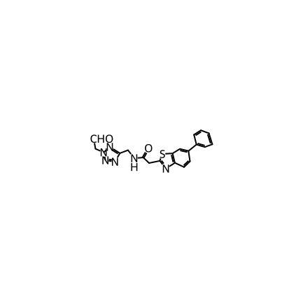 O=CCn1nnc(CNC(=O)Cc2nc3ccc(-c4ccccc4)cc3s2)n1